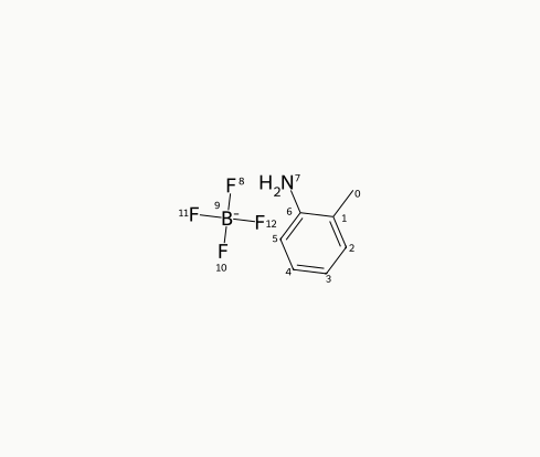 Cc1ccccc1N.F[B-](F)(F)F